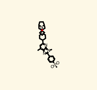 Cc1cc(C2CCN(C3CC4CCC(C3)N4C3CCC3)CC2)nc2c1nc(-c1ccc(S(C)(=O)=O)cc1)n2C